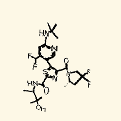 C[C@H]1CC(F)(F)CN1C(=O)c1nc(C(=O)N[C@H](C)C(C)(C)O)sc1-c1cnc(NC(C)(C)C)cc1C(F)F